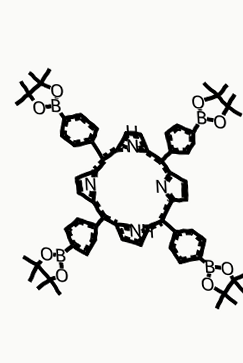 CC1(C)OB(c2ccc(-c3c4nc(c(-c5ccc(B6OC(C)(C)C(C)(C)O6)cc5)c5ccc([nH]5)c(-c5ccc(B6OC(C)(C)C(C)(C)O6)cc5)c5nc(c(-c6ccc(B7OC(C)(C)C(C)(C)O7)cc6)c6ccc3[nH]6)C=C5)C=C4)cc2)OC1(C)C